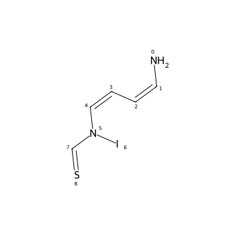 N/C=C\C=C/N(I)C=S